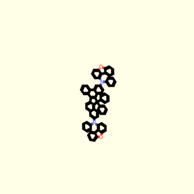 c1ccc(N(c2ccc3c4c(ccc3c2)-c2c(c3ccc(N(c5ccccc5)c5cccc6oc7ccccc7c56)cc3c3ccccc23)C4(c2ccccc2)c2ccccc2)c2cccc3oc4ccccc4c23)cc1